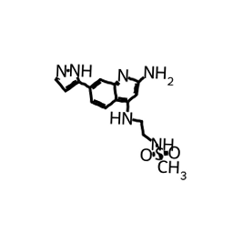 CS(=O)(=O)NCCNc1cc(N)nc2cc(-c3ccn[nH]3)ccc12